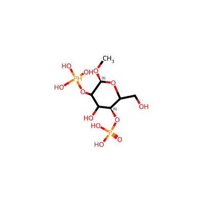 CO[C@H]1OC(CO)[C@@H](OP(=O)(O)O)C(O)C1O[PH](O)(O)O